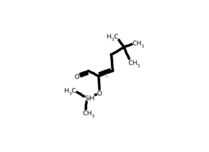 C[SiH](C)O/C(C=O)=C/CC(C)(C)C